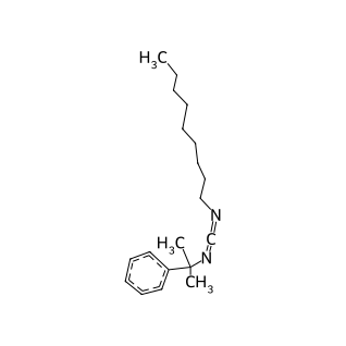 CCCCCCCCCN=C=NC(C)(C)c1ccccc1